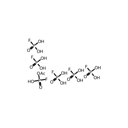 CC(=O)OP(=O)(O)F.O=P(O)(O)F.O=P(O)(O)F.O=P(O)(O)F.O=P(O)(O)F.O=P(O)(O)F